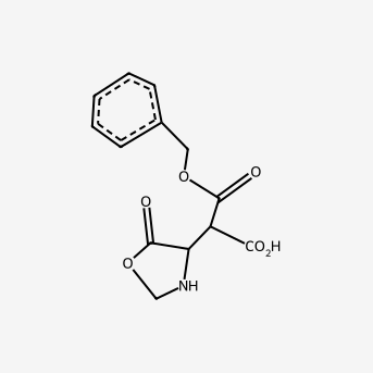 O=C1OCNC1C(C(=O)O)C(=O)OCc1ccccc1